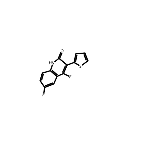 O=c1[nH]c2ccc(F)cc2c(F)c1-c1cccs1